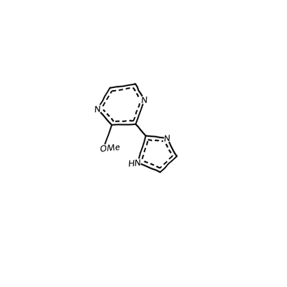 COc1nccnc1-c1ncc[nH]1